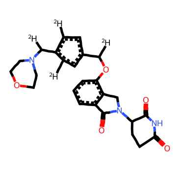 [2H]c1cc(C([2H])Oc2cccc3c2CN(C2CCC(=O)NC2=O)C3=O)cc([2H])c1C([2H])N1CCOCC1